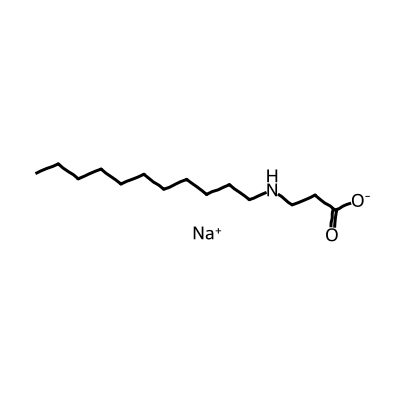 CCCCCCCCCCCNCCC(=O)[O-].[Na+]